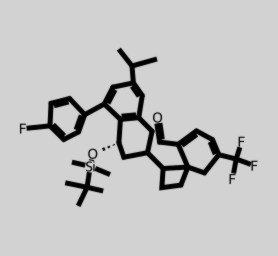 CC(C)c1cc2c(c(-c3ccc(F)cc3)c1)[C@@H](O[Si](C)(C)C(C)(C)C)CC(C1CCC13CC(C(F)(F)F)=CC=C3C=O)C2